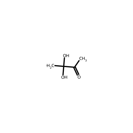 [CH2]C(O)(O)C(C)=O